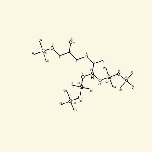 CC(O[CH]C(O)CO[Si](C)(C)C)[SiH](O[Si](C)(C)O[Si](C)(C)C)O[Si](C)(C)O[Si](C)(C)C